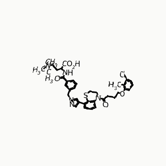 Cc1c(Cl)cccc1OCCCC(=O)N1CCSc2c(-c3cnn(Cc4cccc(C(=O)NC(CC[N+](C)(C)C)C(=O)O)c4)c3)cccc21